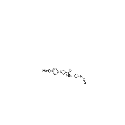 COc1ccc(N2CC(C(=O)N[C@H]3C[C@@H](N=C=S)C3)C2)cc1